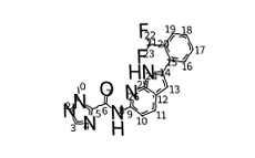 Cn1ncnc1C(=O)Nc1ccc2cc(-c3ccccc3C(F)F)[nH]c2n1